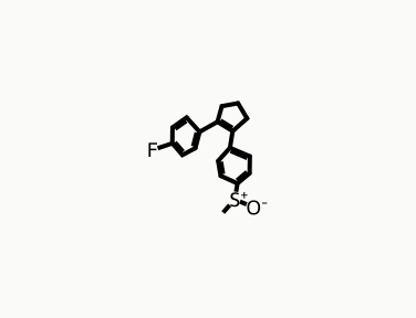 C[S+]([O-])c1ccc(C2=C(c3ccc(F)cc3)CCC2)cc1